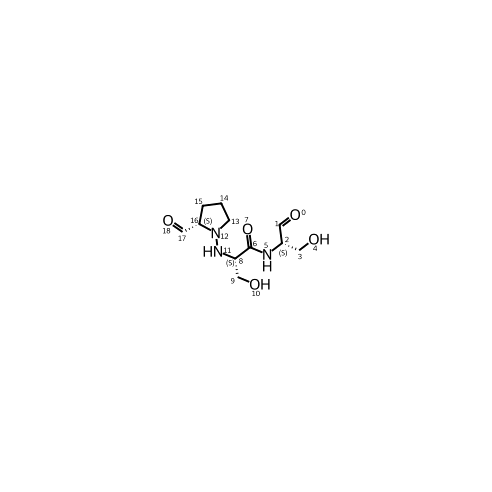 O=C[C@H](CO)NC(=O)[C@H](CO)NN1CCC[C@H]1C=O